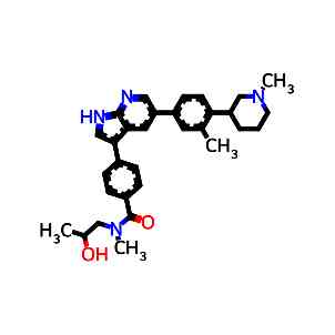 Cc1cc(-c2cnc3[nH]cc(-c4ccc(C(=O)N(C)CC(C)O)cc4)c3c2)ccc1C1CCCN(C)C1